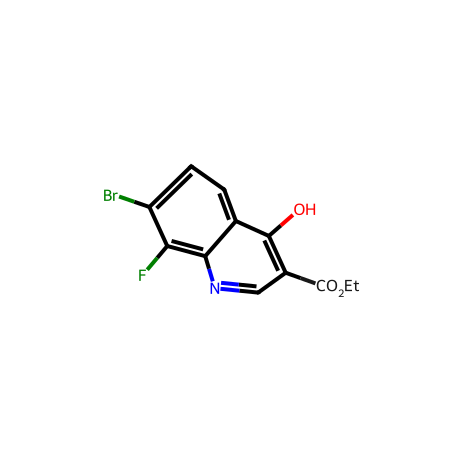 CCOC(=O)c1cnc2c(F)c(Br)ccc2c1O